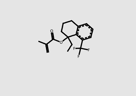 C=C(C)C(=O)OC1(CC)CCCc2cccc(C(F)(F)F)c21